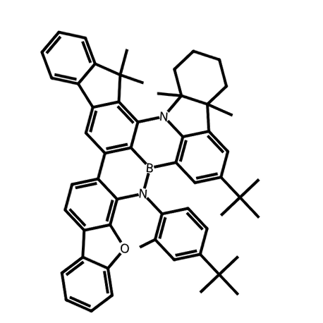 Cc1cc(C(C)(C)C)ccc1N1B2c3cc(C(C)(C)C)cc4c3N(c3c2c(cc2c3C(C)(C)c3ccccc3-2)-c2ccc3c(oc5ccccc53)c21)C1(C)CCCCC41C